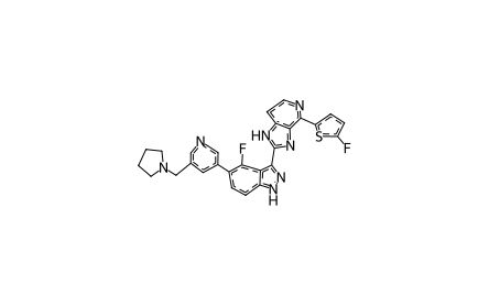 Fc1ccc(-c2nccc3[nH]c(-c4n[nH]c5ccc(-c6cncc(CN7CCCC7)c6)c(F)c45)nc23)s1